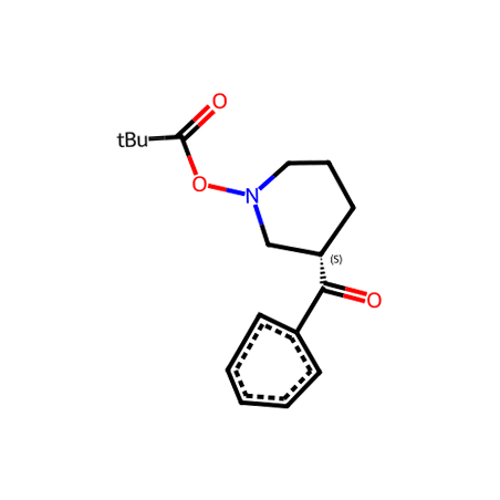 CC(C)(C)C(=O)ON1CCC[C@H](C(=O)c2ccccc2)C1